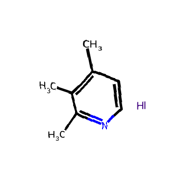 Cc1ccnc(C)c1C.I